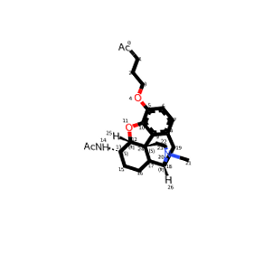 CC(=O)CCCOc1ccc2c3c1O[C@H]1[C@@H](NC(C)=O)CCC4[C@@H](C2)N(C)CC[C@@]341